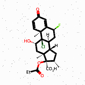 CCC(=O)O[C@]1(C(=O)O)[C@@H](C)C[C@H]2[C@@H]3C[C@H](F)C4=CC(=O)C=C[C@]4(C)[C@@]3(Cl)[C@@H](O)C[C@@]21C